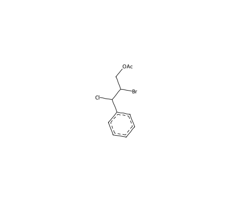 CC(=O)OCC(Br)C(Cl)c1ccccc1